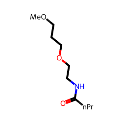 CCCC(=O)NCCOCCCOC